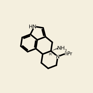 CCCN1CCCC2c3cccc4[nH]cc(c34)C[C@]21N